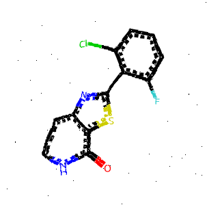 O=c1[nH]ccc2nc(-c3c(F)cccc3Cl)sc12